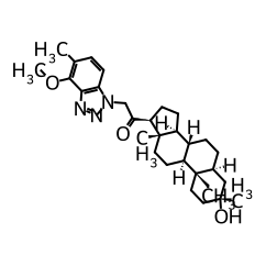 CC[C@]12CC[C@@](C)(O)C[C@@H]1CC[C@H]1[C@@H]3CC[C@H](C(=O)Cn4nnc5c(OC)c(C)ccc54)[C@@]3(C)CC[C@@H]12